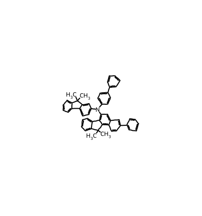 CC1(C)c2ccccc2-c2ccc(N(c3ccc(-c4ccccc4)cc3)c3cc4cc(-c5ccccc5)ccc4c4c3-c3ccccc3C4(C)C)cc21